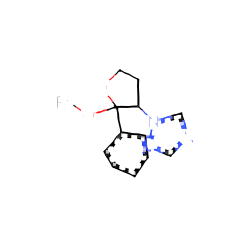 CC(C)OC1(c2ccccc2)OCCC1n1cncn1